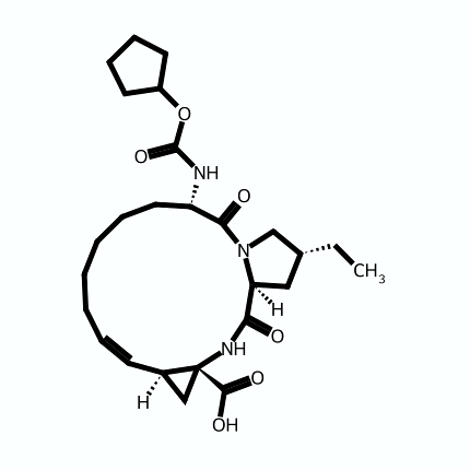 CC[C@@H]1C[C@H]2C(=O)N[C@]3(C(=O)O)C[C@H]3/C=C\CCCCC[C@H](NC(=O)OC3CCCC3)C(=O)N2C1